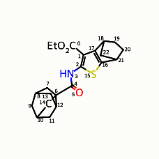 CCOC(=O)c1c(NC(=O)C23CC4CC(CC2C4)C3)sc2c1C1CCC2C1